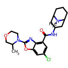 CC1COCCN1c1nc2c(C(=O)NC3CC4CCCC(C3)N4C)cc(Cl)cc2o1